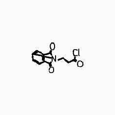 CCCC(=O)Cl.O=C1c2cc3ccc2c(=O)n31